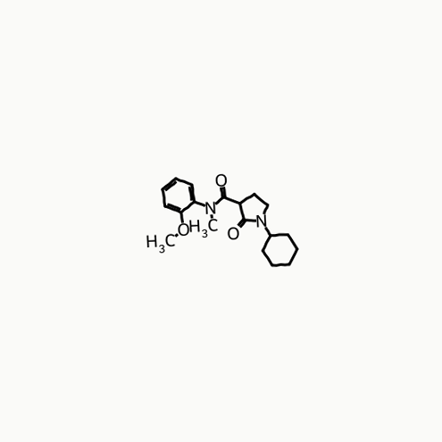 COc1ccccc1N(C)C(=O)C1CCN(C2CCCCC2)C1=O